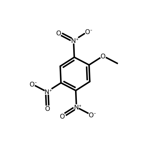 COc1cc([N+](=O)[O-])c([N+](=O)[O-])cc1[N+](=O)[O-]